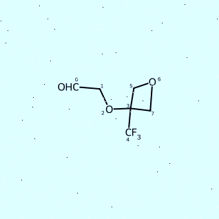 O=CCOC1(C(F)(F)F)COC1